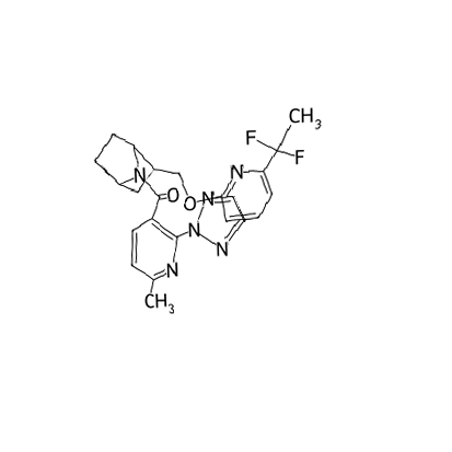 Cc1ccc(C(=O)N2C3CCC2C(COc2cccc(C(C)(F)F)n2)C3)c(-n2nccn2)n1